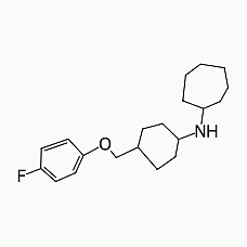 Fc1ccc(OCC2CCC(NC3CCCCCC3)CC2)cc1